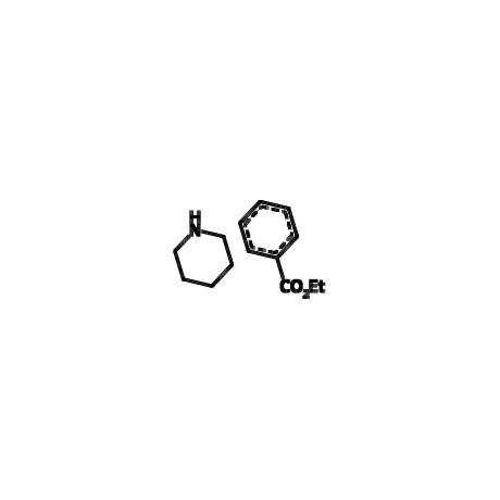 C1CCNCC1.CCOC(=O)c1ccccc1